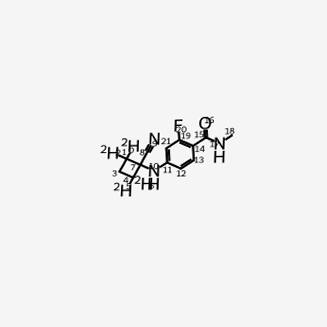 [2H]C1([2H])CC([2H])([2H])C1(C#N)Nc1ccc(C(=O)NC)c(F)c1